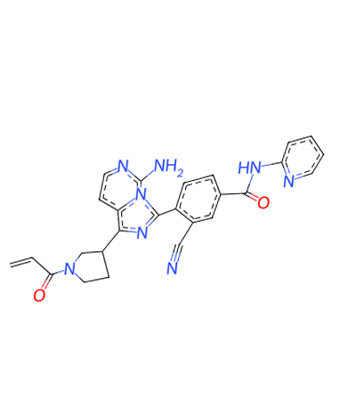 C=CC(=O)N1CCC(c2nc(-c3ccc(C(=O)Nc4ccccn4)cc3C#N)n3c(N)nccc23)C1